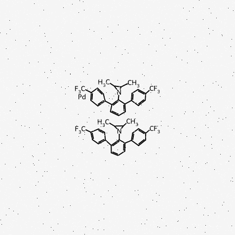 CC1C(C)N1c1c(-c2ccc(C(F)(F)F)cc2)cccc1-c1ccc(C(F)(F)F)cc1.CC1C(C)N1c1c(-c2ccc(C(F)(F)F)cc2)cccc1-c1ccc(C(F)(F)F)cc1.[Pd]